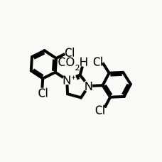 O=C(O)C1=[N+](c2c(Cl)cccc2Cl)CCN1c1c(Cl)cccc1Cl